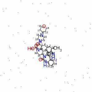 Cc1cc(CC(C(=O)N2CCN(C3CCOCC3)CC2)[C@H]2CC(N3CCc4ccccc4NC3=O)CCN2C(=O)O)cc(C)c1N